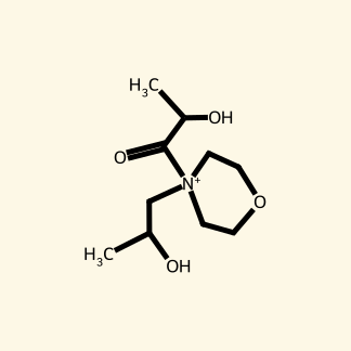 CC(O)C[N+]1(C(=O)C(C)O)CCOCC1